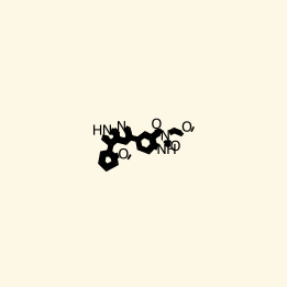 COCCn1c(=O)[nH]c2c(c1=O)=CC(c1cnc3[nH]cc(-c4ccccc4OC)c3c1)CC=2